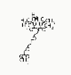 COC(=O)COCCCOCCN(C(=O)OC(C)(C)C)C(=O)OC(C)(C)C